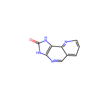 O=c1[nH]c2ncc3cccnc3c2[nH]1